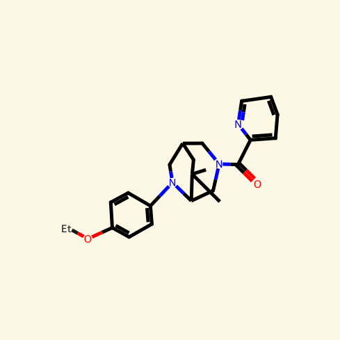 CCOc1ccc(N2CC3CN(C(=O)c4ccccn4)CC2C(C)(C)C3)cc1